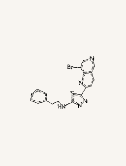 Brc1cncc2ccc(-c3nnc(NCCc4ccccc4)s3)nc12